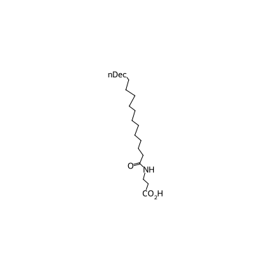 CCCCCCCCCCCCCCCCCCCCCC(=O)NCCC(=O)O